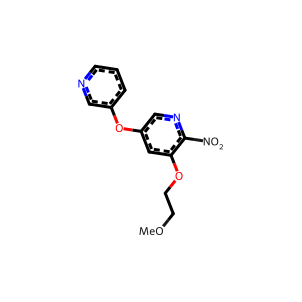 COCCOc1cc(Oc2cccnc2)cnc1[N+](=O)[O-]